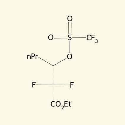 CCCC(OS(=O)(=O)C(F)(F)F)C(F)(F)C(=O)OCC